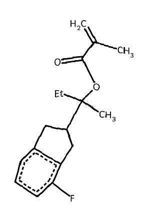 C=C(C)C(=O)OC(C)(CC)C1Cc2cccc(F)c2C1